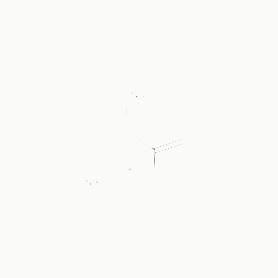 O.O.O.O=C([O-])[O-].[Na+].[Na+]